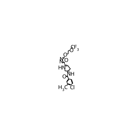 Cc1cc(C(=O)N[C@H]2CC[C@H](c3nnc(OCCOC(F)(F)F)o3)NC2)ccc1Cl